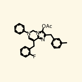 CC(=O)Oc1c(Cc2cccc(C)c2)nc2n1CN(c1ccccc1)C=C2Cc1ccccc1F